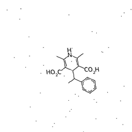 CC1=C(C(=O)O)C(C(C)c2ccccc2)C(C(=O)O)=C(C)N1